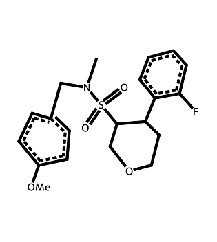 COc1ccc(CN(C)S(=O)(=O)C2COCCC2c2ccccc2F)cc1